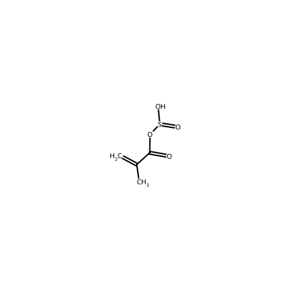 C=C(C)C(=O)OS(=O)O